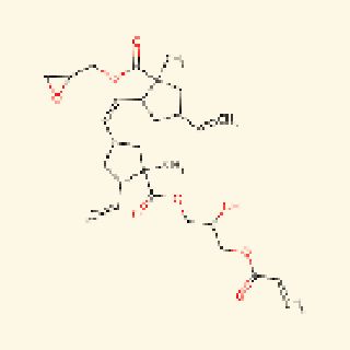 C=CC(=O)OCC(O)COC(=O)C1(C)CC(/C=C\C2CC(C=C)CC2(C)C(=O)OCC2CO2)CC1C=C